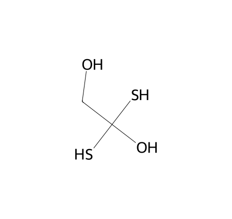 OCC(O)(S)S